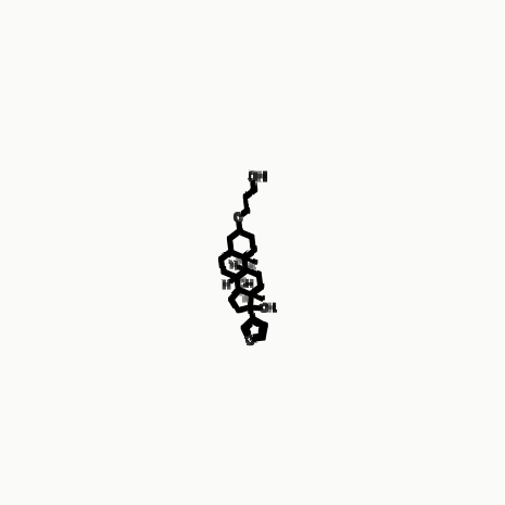 C[C@]12CCC(OCCCO)CC1CC[C@@H]1[C@H]2CC[C@@]2(C)[C@H]1CCC2(O)c1ccoc1